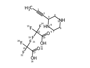 CC#CC1CNCCN1.O=C(O)C(F)(F)F.O=C(O)C(F)(F)F